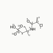 C=C(Cl)C(=O)NC(C)(C)CS(=O)(=O)O